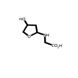 O=C(O)CNC1CC(O)CO1